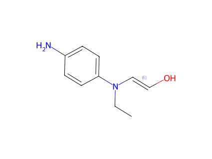 CCN(/C=C/O)c1ccc(N)cc1